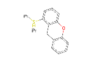 CC(C)[SH](c1cccc2c1Cc1ccccc1O2)C(C)C